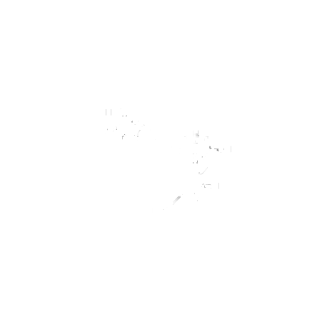 CC#CCC(C)[C@H](O)C=C[C@@H]1[C@H]2CC(=CCCCC(=O)OC(C)C(C)C)C[C@H]2C[C@H]1O